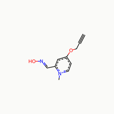 C#CCOc1cc[n+](C)c(/C=N/O)c1